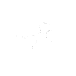 C=CCN(CCO)c1cccc(C)c1C